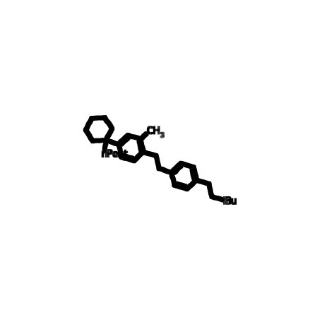 CCCCCC1(c2ccc(CCc3ccc(CCC(C)CC)cc3)c(C)c2)CCCCC1